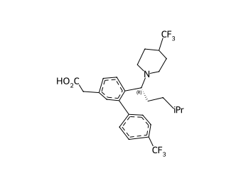 CC(C)CC[C@H](c1ccc(CC(=O)O)cc1-c1ccc(C(F)(F)F)cc1)N1CCC(C(F)(F)F)CC1